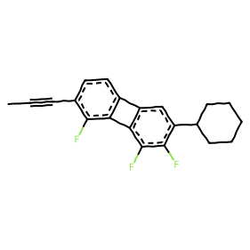 CC#Cc1ccc2c(c1F)-c1c-2cc(C2CCCCC2)c(F)c1F